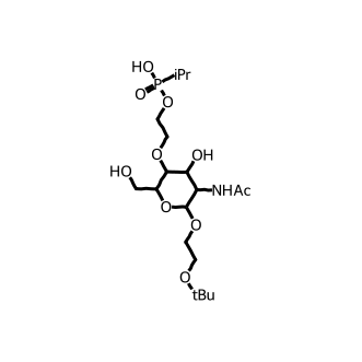 CC(=O)NC1C(OCCOC(C)(C)C)OC(CO)C(OCCOP(=O)(O)C(C)C)C1O